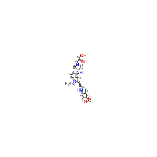 CS(=O)(=O)c1ccc(NCC#Cc2cc3c(NC4CCN(CC(O)CO)CC4)cccc3n2CC(F)(F)F)c(F)c1